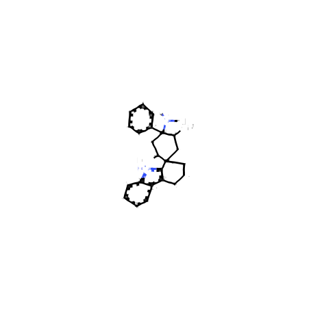 CC1CC(c2ccccc2)(N(C)C)C(C)CC12CCCc1c2[nH]c2ccccc12